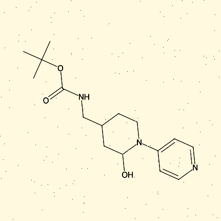 CC(C)(C)OC(=O)NCC1CCN(c2ccncc2)C(O)C1